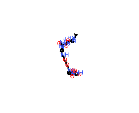 NC(=O)c1nn(-c2ccc(CNCCCOCCCOCCCNc3cccc4c3C(=O)N(C3CCC(=O)NC3=O)C4=O)cc2)cc1NC(=O)c1coc(-c2ccnc(NCC3CC3)c2)n1